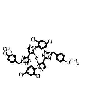 COc1ccc(Cn2nnc(-c3cnn(-c4ccc(Cl)cc4Cl)c3SSc3c(-c4nnn(Cc5ccc(OC)cc5)n4)cnn3-c3ccc(Cl)cc3Cl)n2)cc1